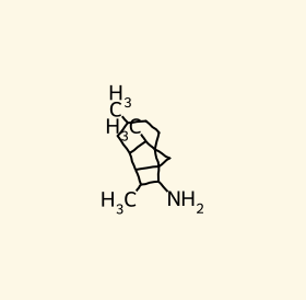 CC1CCC23CC24C(N)C(C)C4C(C1)C3C